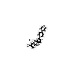 COc1nc(N2CCC(N3CCOCC3)CC2)ccc1Nc1ncc(Cl)cn1